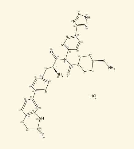 Cl.NC[C@H]1CC[C@H](C(=O)N(C(=O)[C@@H](N)Cc2ccc(-c3ccc4c(c3)NC(=O)CC4)cc2)c2ccc(-c3nn[nH]n3)cc2)CC1